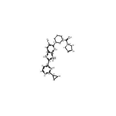 O=C([C@@H]1CCCN(c2nc3[nH]c(-c4ccnc(C5CC5)n4)nc3cc2F)C1)N1CCCC1